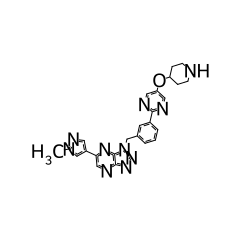 Cn1cc(-c2cnc3nnn(Cc4cccc(-c5ncc(OC6CCNCC6)cn5)c4)c3n2)cn1